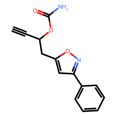 C#CC(Cc1cc(-c2ccccc2)no1)OC(N)=O